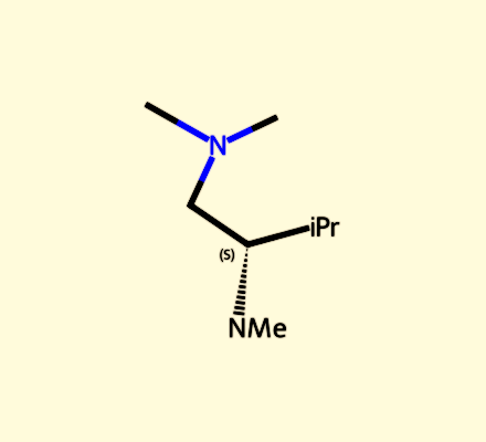 CN[C@H](CN(C)C)C(C)C